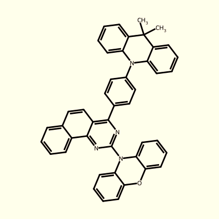 CC1(C)c2ccccc2N(c2ccc(-c3nc(N4c5ccccc5Oc5ccccc54)nc4c3ccc3ccccc34)cc2)c2ccccc21